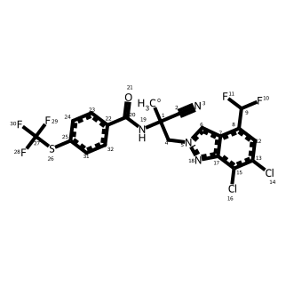 CC(C#N)(Cn1cc2c(C(F)F)cc(Cl)c(Cl)c2n1)NC(=O)c1ccc(SC(F)(F)F)cc1